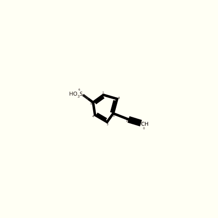 C#Cc1ccc(S(=O)(=O)O)cc1